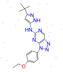 CCOc1ccc(-n2nnc3cnc(Nc4cc(C(C)(C)C)n[nH]4)nc32)cc1